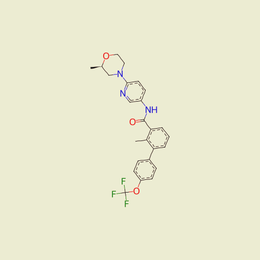 Cc1c(C(=O)Nc2ccc(N3CCO[C@H](C)C3)nc2)cccc1-c1ccc(OC(F)(F)F)cc1